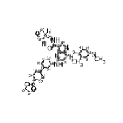 COc1ccc(CN(C)c2cc(Nc3cccc(-c4ccc(C5OCCO5)cn4)c3)nn3c(C(=O)N[C@H]4[C@@H]5COC[C@@H]54)cnc23)cc1